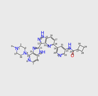 CN1CCN(c2nccc3[nH]c(-c4n[nH]c5ccc(-c6cncc(NC(=O)C7CCC7)c6)nc45)nc23)CC1